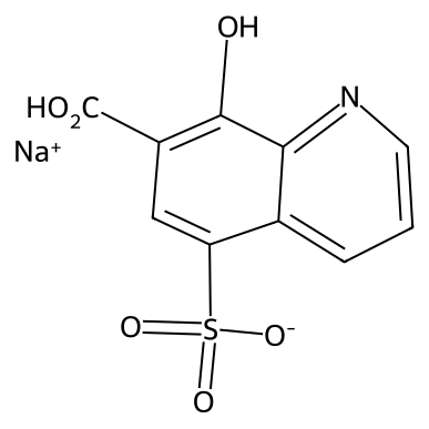 O=C(O)c1cc(S(=O)(=O)[O-])c2cccnc2c1O.[Na+]